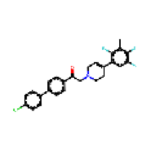 Cc1c(F)c(F)cc(C2=CCN(CC(=O)c3ccc(-c4ccc(Cl)cc4)cc3)CC2)c1F